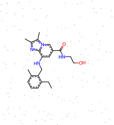 CCc1cccc(C)c1CNc1cc(C(=O)NCCO)cn2c(C)c(C)nc12